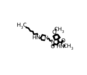 CCCCCCCNC1CCN(CCn2c(=O)cc(C(=O)NC)c3ccc(OC)cc32)CC1